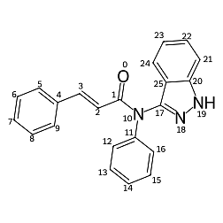 O=C(C=Cc1ccccc1)N(c1ccccc1)c1n[nH]c2ccccc12